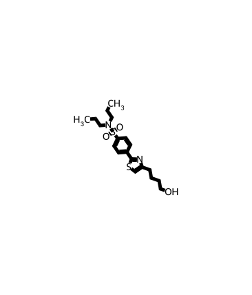 CCCN(CCC)S(=O)(=O)c1ccc(-c2nc(CCCCO)cs2)cc1